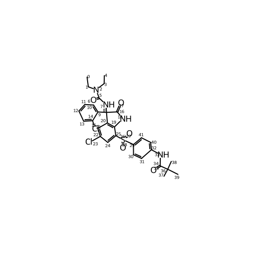 CCN(CC)C(=O)NC1(c2ccccc2Cl)C(=O)Nc2c1cc(Cl)cc2S(=O)(=O)c1ccc(NC(=O)C(C)(C)C)cc1